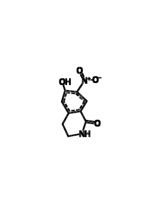 O=C1NCCc2cc(O)c([N+](=O)[O-])cc21